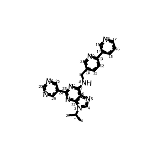 CC(C)n1cnc2c(NCc3ccc(-c4cccnc4)nc3)nc(-c3cncnc3)nc21